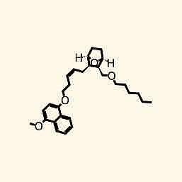 CCCCCCOC[C@H]1[C@@H](C/C=C\CCOc2ccc(OC)c3ccccc23)[C@H]2CC[C@@H]1O2